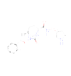 O=C(NO[C@H]1CCNC1)[C@@H]1CC[C@@H]2CN1C(=O)N2OCc1ccccc1